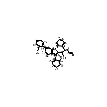 C=CCC1c2ccccc2N2c3cc(-c4ccccc4C)ccc3N(c3ccccc3C)C2C1C